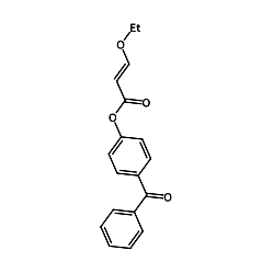 CCOC=CC(=O)Oc1ccc(C(=O)c2ccccc2)cc1